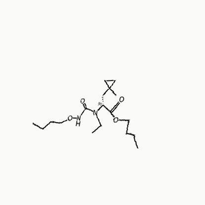 CCCCONC(=O)N(CC)[C@H](CC1(C)CC1)C(=O)OCCCC